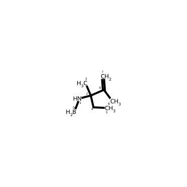 BNC(C)(CC)C(=C)C